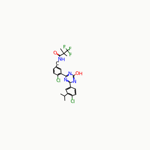 CC(C)c1cc(-c2nc(O)nc(-c3cc(CNC(=O)C(C)(C)C(F)(F)F)ccc3Cl)n2)ccc1Cl